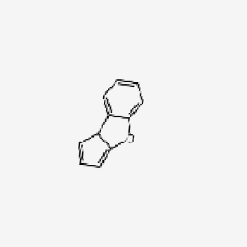 C1=CC2C(=C1)Oc1ccccc12